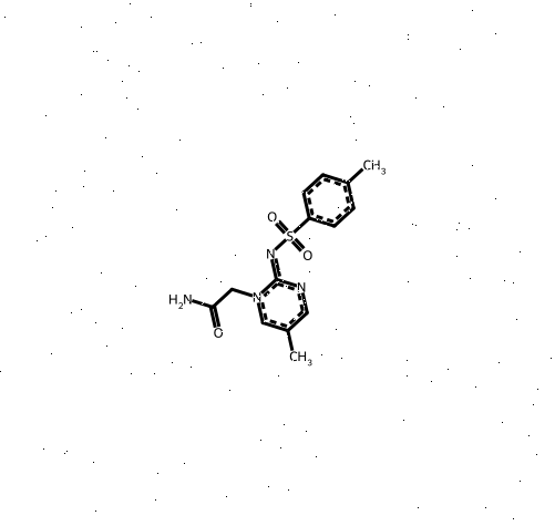 Cc1ccc(S(=O)(=O)/N=c2\ncc(C)cn2CC(N)=O)cc1